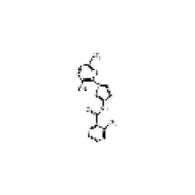 N#Cc1ccc(C(F)(F)F)nc1-n1ccc(NC(=O)c2ccccc2C(F)(F)F)n1